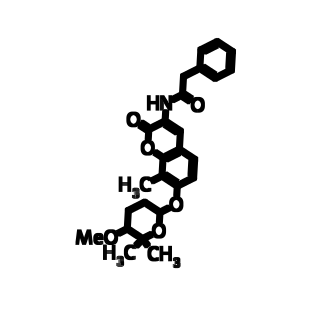 COC1CCC(Oc2ccc3cc(NC(=O)Cc4ccccc4)c(=O)oc3c2C)OC1(C)C